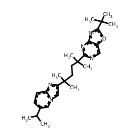 CC(C)c1ccc2nc(C(C)(C)CCC(C)(C)c3ncc4oc(C(C)(C)C)nc4n3)cn2c1